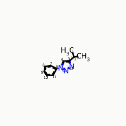 C[C](C)c1cn(-c2ccccc2)nn1